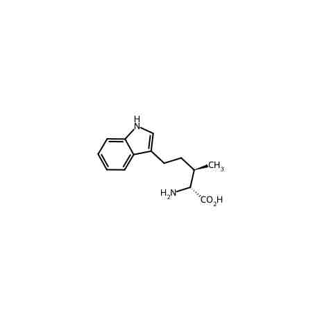 C[C@H](CCc1c[nH]c2ccccc12)[C@@H](N)C(=O)O